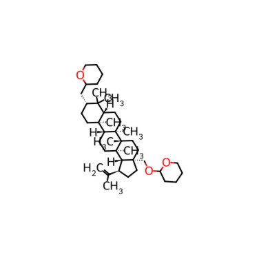 C=C(C)[C@@H]1CC[C@]2(COC3CCCCO3)CC[C@@]3(C)[C@]4(C)CC[C@H]5C(C)(C)[C@@H](CC6CCCCO6)CC[C@]5(C)[C@H]4CC[C@]3(C)[C@@H]12